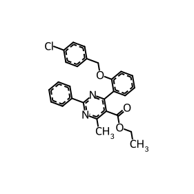 CCOC(=O)c1c(C)nc(-c2ccccc2)nc1-c1ccccc1OCc1ccc(Cl)cc1